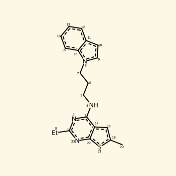 CCc1nc(NCCCn2ccc3ccccc32)c2cc(C)sc2n1